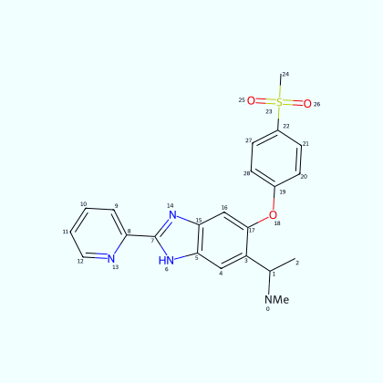 CNC(C)c1cc2[nH]c(-c3ccccn3)nc2cc1Oc1ccc(S(C)(=O)=O)cc1